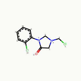 O=C1CN(CCl)CN1c1ccccc1Cl